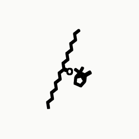 C=C1C2CCC(C2)C1(C)C.CCCCCCCCC(=O)CCCCCCCC